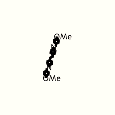 COc1ccc(C=Nc2ccc(CCc3ccc(N=Cc4ccc(OC)cc4)cc3)cc2)cc1